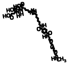 CNCCOCCOCCOCCNC(=O)c1ccc(C(=O)NCCCCCCc2cn(CCCC[C@H](NC(=O)N[C@@H](CCC(=O)O)C(=O)O)C(=O)O)nn2)cc1